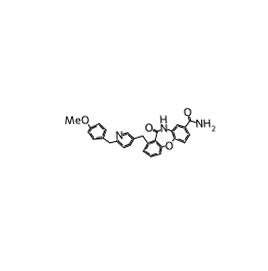 COc1ccc(Cc2ccc(Cc3cccc4c3C(=O)Nc3cc(C(N)=O)ccc3O4)cn2)cc1